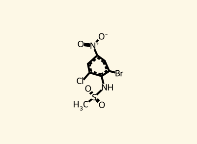 CS(=O)(=O)Nc1c(Cl)cc([N+](=O)[O-])cc1Br